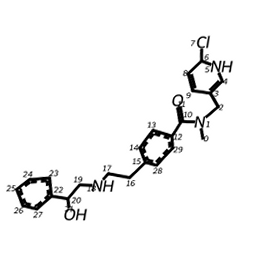 CN(CC1=CNC(Cl)C=C1)C(=O)c1ccc(CCNCC(O)c2ccccc2)cc1